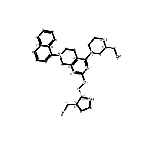 N#CC[C@H]1CN(c2nc(OC[C@@H]3NCC[C@H]3CF)nc3c2CCN(c2cccc4ccccc24)C3)CCN1